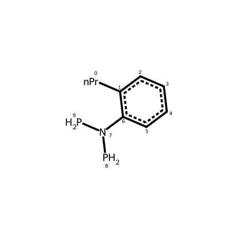 CCCc1ccccc1N(P)P